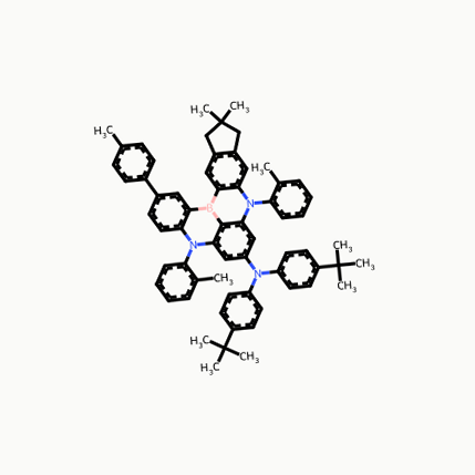 Cc1ccc(-c2ccc3c(c2)B2c4cc5c(cc4N(c4ccccc4C)c4cc(N(c6ccc(C(C)(C)C)cc6)c6ccc(C(C)(C)C)cc6)cc(c42)N3c2ccccc2C)CC(C)(C)C5)cc1